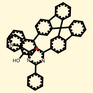 Oc1ccc(-c2ccc3c(c2)C2(c4ccccc4-c4ccc(-c5nc(-c6ccccc6)nc(-c6ccccc6)n5)cc42)c2ccccc2-3)c2cccnc12